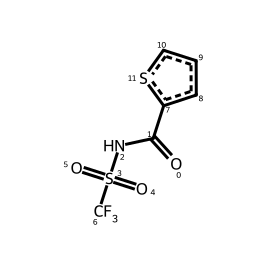 O=C(NS(=O)(=O)C(F)(F)F)c1cccs1